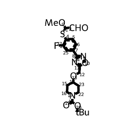 COC(C=O)Sc1ccc(-c2noc(COC3CCN(C(=O)OC(C)(C)C)CC3)n2)cc1F